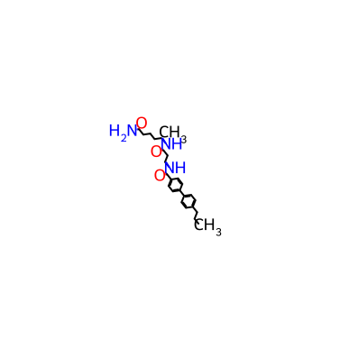 CCCc1ccc(-c2ccc(C(=O)NCCC(=O)NC(C)CCCC(N)=O)cc2)cc1